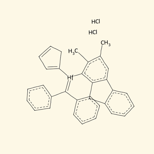 Cc1cc2c([c]([Hf]([C]3=CC=CC3)=[C](c3ccccc3)c3ccccc3)c1C)Cc1ccccc1-2.Cl.Cl